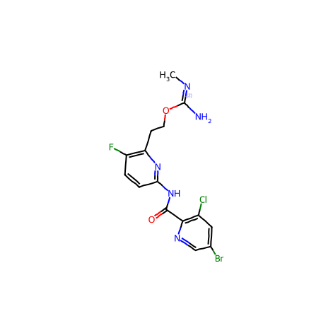 C/N=C(/N)OCCc1nc(NC(=O)c2ncc(Br)cc2Cl)ccc1F